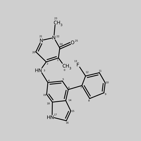 Cc1c(Nc2cc(-c3ccccc3F)c3cc[nH]c3c2)cnn(C)c1=O